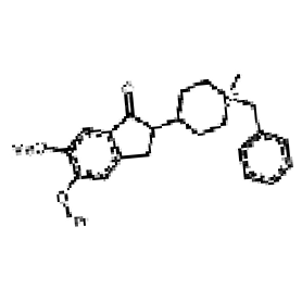 COc1cc2c(cc1OC(C)C)CC(C1CC[N+](C)(Cc3ccccc3)CC1)C2=O